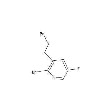 Fc1ccc(Br)c(CCBr)c1